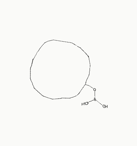 OB(O)OC1CCCCCCCCCCCCCCCCCC1